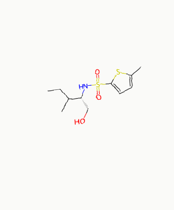 CCC(C)[C@@H](CO)NS(=O)(=O)c1ccc(C)s1